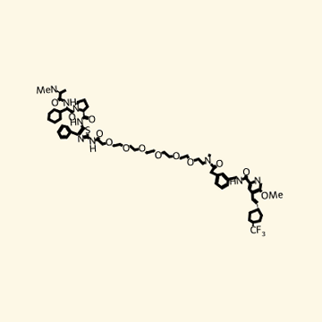 CN[C@@H](C)C(=O)N[C@H](C(=O)N1CCC[C@H]1C(=O)Nc1sc(NC(=O)COCCOCCOCCOCCOCCOCCN(C)C(=O)Cc2cccc(CNC(=O)c3cc(/C=C/[C@H]4CC[C@H](C(F)(F)F)CC4)c(OC)cn3)c2)nc1-c1ccccc1)C1CCCCC1